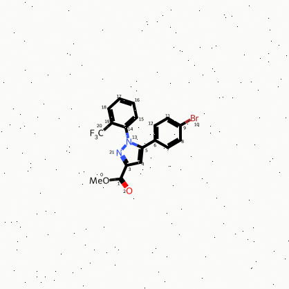 COC(=O)c1cc(-c2ccc(Br)cc2)n(-c2ccccc2C(F)(F)F)n1